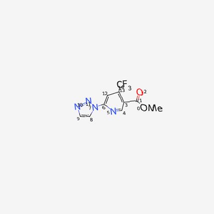 COC(=O)c1cnc(-n2ccnn2)cc1C(F)(F)F